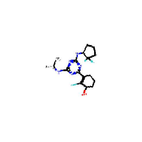 CC[C@@H](Nc1nc(NC2CCCC2(F)F)nc(C2=C(F)C(O)CCC2)n1)C(F)(F)F